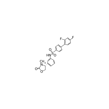 CN1C(=O)OC[C@H]1c1cccc(NS(=O)(=O)c2ccc(-c3ccc(F)cc3F)cc2)c1